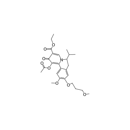 CCOC(=O)c1cn2c(c(OC(C)=O)c1=O)-c1cc(OC)c(OCCCOC)cc1CC2C(C)C